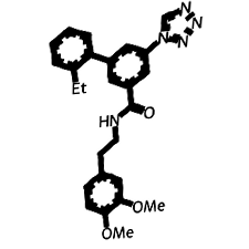 CCc1ccccc1-c1cc(C(=O)NCCc2ccc(OC)c(OC)c2)cc(-n2cnnn2)c1